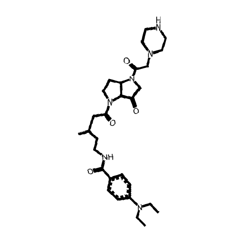 CCN(CC)c1ccc(C(=O)NCCC(C)CC(=O)N2CCC3C2C(=O)CN3C(=O)CN2CCNCC2)cc1